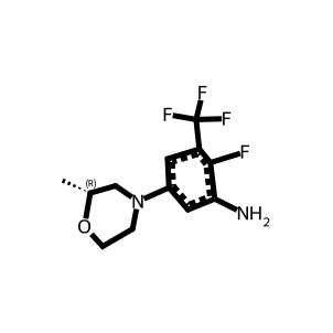 C[C@@H]1CN(c2cc(N)c(F)c(C(F)(F)F)c2)CCO1